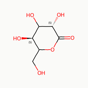 O=C1OC(CO)[C@@H](O)C(O)[C@@H]1O